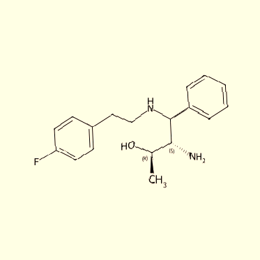 C[C@@H](O)[C@@H](N)C(NCCc1ccc(F)cc1)c1ccccc1